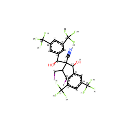 N#CC(C(CI)CI)(C(O)c1cc(C(F)(F)F)cc(C(F)(F)F)c1)C(O)c1cc(C(F)(F)F)cc(C(F)(F)F)c1